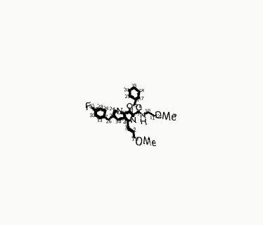 COCC=Cc1nc(C(=O)NCCOC)c(OCc2ccccc2)c2ncc(Cc3ccc(F)cc3)cc12